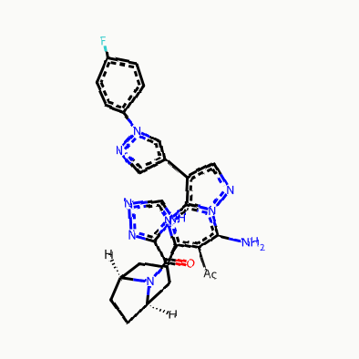 CC(=O)c1c([C@H]2C[C@H]3CC[C@@H](C2)N3C(=O)c2nnc[nH]2)nc2c(-c3cnn(-c4ccc(F)cc4)c3)cnn2c1N